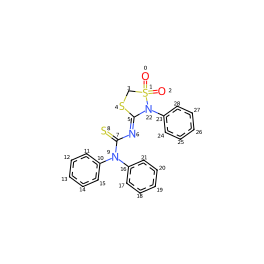 O=S1(=O)CSC(=NC(=S)N(c2ccccc2)c2ccccc2)N1c1ccccc1